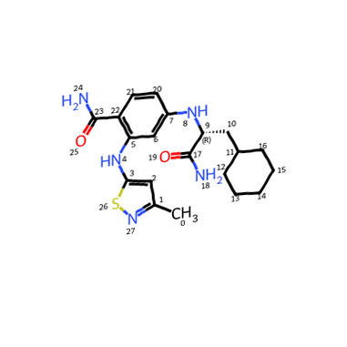 Cc1cc(Nc2cc(N[C@H](CC3CCCCC3)C(N)=O)ccc2C(N)=O)sn1